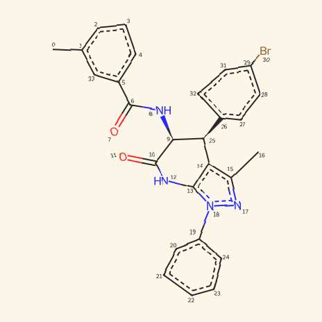 Cc1cccc(C(=O)N[C@@H]2C(=O)Nc3c(c(C)nn3-c3ccccc3)[C@@H]2c2ccc(Br)cc2)c1